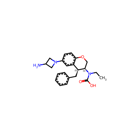 CCN(C(=O)O)[C@@H]1COc2ccc(N3CC(N)C3)cc2[C@@H]1Cc1ccccc1